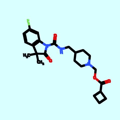 CC1(C)C(=O)N(C(=O)NCC2CCN(COC(=O)C3CCC3)CC2)c2cc(F)ccc21